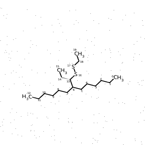 CCCCCCC(CCCCCC)[C@H](CC)SSCC